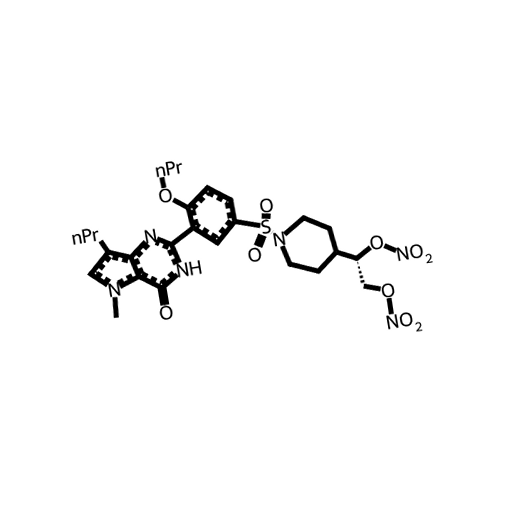 CCCOc1ccc(S(=O)(=O)N2CCC([C@@H](CO[N+](=O)[O-])O[N+](=O)[O-])CC2)cc1-c1nc2c(CCC)cn(C)c2c(=O)[nH]1